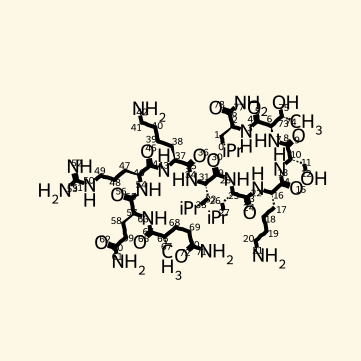 CC(C)C[C@H](NC(=O)[C@@H](NC(=O)[C@H](CO)NC(=O)[C@H](CCCCN)NC(=O)[C@H](CC(C)C)NC(=O)[C@H](CC(C)C)NC(=O)[C@H](CCCCN)NC(=O)[C@H](CCCNC(=N)N)NC(=O)[C@H](CCC(N)=O)NC(=O)[C@@H](C)CCC(N)=O)[C@@H](C)O)C(N)=O